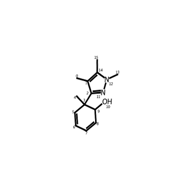 Cc1c(C2(C)C=CC=CC2O)nn(C)c1C